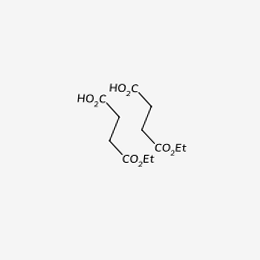 CCOC(=O)CCC(=O)O.CCOC(=O)CCC(=O)O